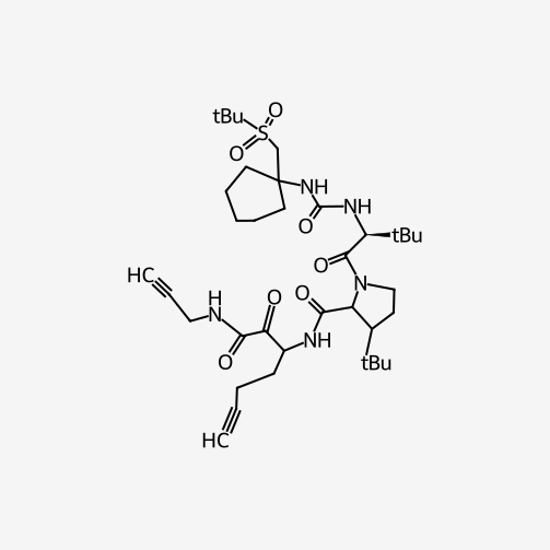 C#CCCC(NC(=O)C1C(C(C)(C)C)CCN1C(=O)[C@@H](NC(=O)NC1(CS(=O)(=O)C(C)(C)C)CCCCC1)C(C)(C)C)C(=O)C(=O)NCC#C